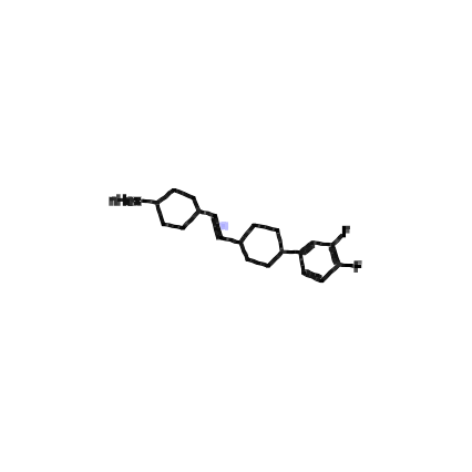 CCCCCCC1CCC(/C=C/C2CCC(c3ccc(F)c(F)c3)CC2)CC1